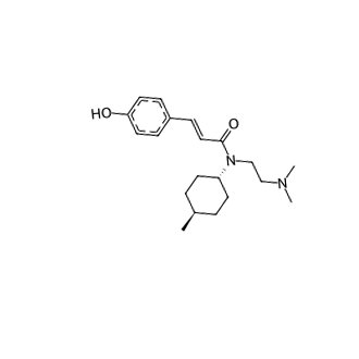 CN(C)CCN(C(=O)C=Cc1ccc(O)cc1)[C@H]1CC[C@H](C)CC1